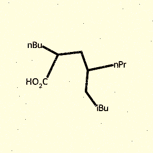 CCCCC(CC(CCC)CC(C)CC)C(=O)O